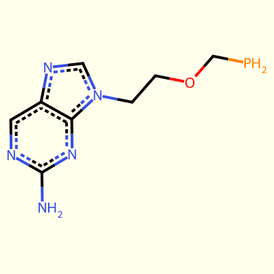 Nc1ncc2ncn(CCOCP)c2n1